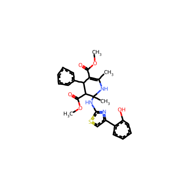 COC(=O)C1=C(C)NC(C)(Nc2nc(-c3ccccc3O)cs2)C(C(=O)OC)C1c1ccccc1